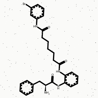 N[C@@H](Cc1ccccc1)C(=O)Nc1ccccc1NC(=O)CCCCCC(=O)Nc1cccc(Br)c1